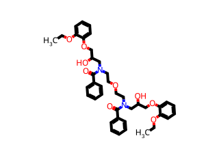 CCOc1ccccc1OCC(O)CN(CCOCCN(CC(O)COc1ccccc1OCC)C(=O)c1ccccc1)C(=O)c1ccccc1